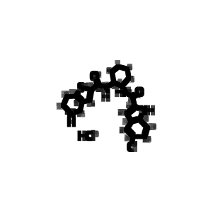 Cl.O=C(NC1CCCCC1NC(=O)c1cc2c(s1)CCNC2)c1cc2cc(Cl)ccc2[nH]1